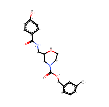 O=C(NCC1CN(C(=O)OCc2cccc(C(F)(F)F)c2)CCO1)c1ccc(O)cc1